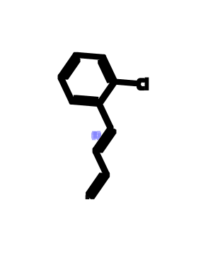 [CH]=C/C=C/c1ccccc1Cl